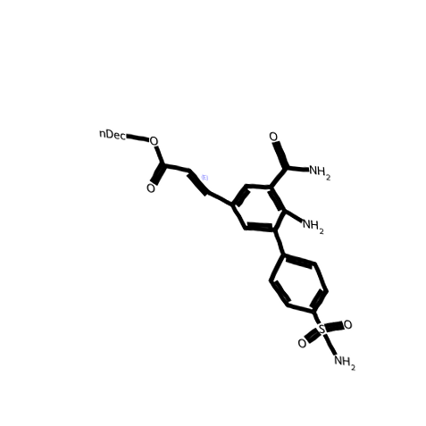 CCCCCCCCCCOC(=O)/C=C/c1cc(C(N)=O)c(N)c(-c2ccc(S(N)(=O)=O)cc2)c1